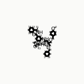 COc1ccc(COCC(O)(COCc2ccccc2)CC(=O)Nc2cc(C(=O)N[C@H](C)c3ccccc3)cc(N(C)S(C)(=O)=O)c2)cc1